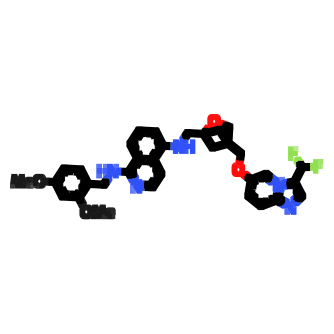 COc1ccc(CNc2nccc3c(NCC45CC(COc6ccc7ncc(C(F)F)n7c6)(CO4)C5)cccc23)c(OC)c1